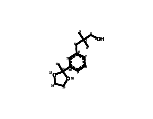 CC(C)(CO)Cc1cccc(C2(C)OCCO2)c1